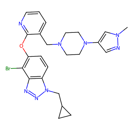 Cn1cc(N2CCN(Cc3cccnc3Oc3ccc4c(nnn4CC4CC4)c3Br)CC2)cn1